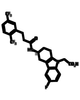 O=C(O)Cn1c2c(c3cc(F)ccc31)C[C@@H](NC(=O)CCc1cc(C(F)(F)F)ccc1C(F)(F)F)CC2